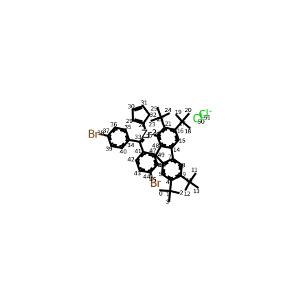 CC(C)(C)c1cc2c(cc1C(C)(C)C)-c1cc(C(C)(C)C)c(C(C)(C)C)[c]([Zr+2]([C]3=CC=CC3)=[C](c3ccc(Br)cc3)c3ccc(Br)cc3)c1C2.[Cl-].[Cl-]